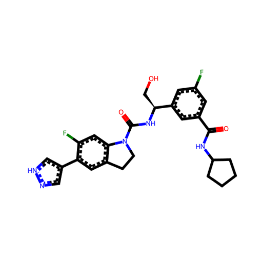 O=C(NC1CCCC1)c1cc(F)cc([C@H](CO)NC(=O)N2CCc3cc(-c4cn[nH]c4)c(F)cc32)c1